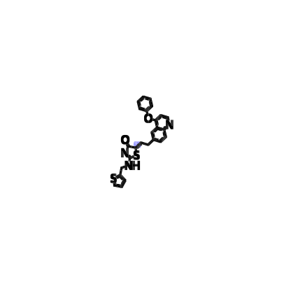 O=C1N=C(NCc2cccs2)S/C1=C\Cc1ccc2nccc(Oc3ccccc3)c2c1